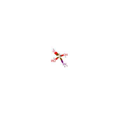 O=[SH](O)(O)P